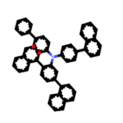 c1ccc(-c2ccc(N(c3ccc(-c4cccc5ccccc45)cc3)c3cc(-c4cccc5ccccc45)ccc3-c3cccc4ccccc34)cc2)cc1